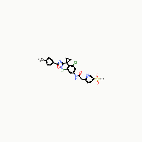 CCS(=O)(=O)c1ccc(CC(=O)Nc2cc(Cl)c(C3(c4noc(-c5ccc(C(F)(F)F)cc5)n4)CC3)c(Cl)c2)nc1